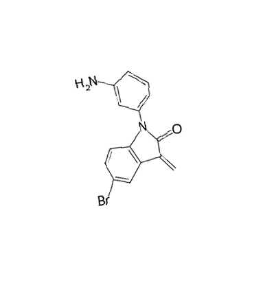 C=C1C(=O)N(c2cccc(N)c2)c2ccc(Br)cc21